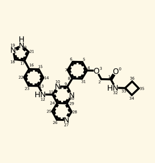 O=C(COc1cccc(-c2nc(Nc3ccc(-c4cn[nH]c4)cc3)c3ccncc3n2)c1)NC1CCC1